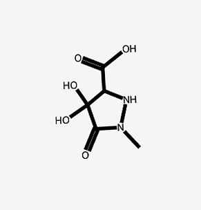 CN1NC(C(=O)O)C(O)(O)C1=O